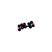 C1=CC2=C(CC1)Oc1ccccc1N2c1ccc2c(c1)C(c1ccccc1)(c1ccccc1)c1cc(/C=C/c3c4ccccc4c(N4c5ccccc5Oc5ccccc54)c4ccccc34)ccc1-2